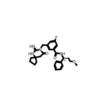 COCC[C@H](NC(=O)c1cc(F)cc(CN2C(=N)NC3(CCCC3)CC2=O)c1)c1ccccc1